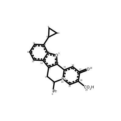 CC(C)C1Cc2c(oc3c(C4CC4)cccc23)-c2cc(=O)c(C(=O)O)cn21